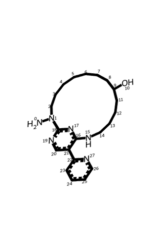 NN1CCCCCCCC(O)CCCCNc2nc1ncc2-c1ccccn1